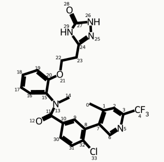 Cc1cc(C(F)(F)F)ncc1-c1cc(C(=O)N(C)c2ccccc2OCCc2n[nH]c(=O)[nH]2)ccc1Cl